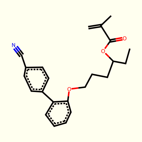 C=C(C)C(=O)OC(CC)CCCOc1ccccc1-c1ccc(C#N)cc1